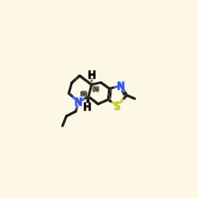 CCCN1CCC[C@H]2Cc3nc(C)sc3C[C@@H]21